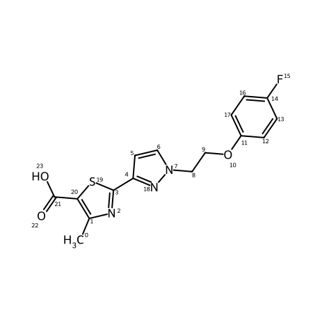 Cc1nc(-c2ccn(CCOc3ccc(F)cc3)n2)sc1C(=O)O